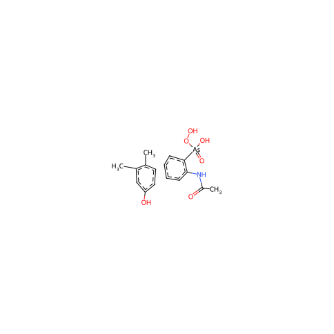 CC(=O)Nc1ccccc1[As](=O)(O)OO.Cc1ccc(O)cc1C